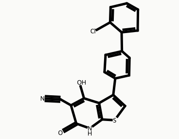 N#Cc1c(O)c2c(-c3ccc(-c4ccccc4Cl)cc3)csc2[nH]c1=O